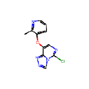 Cc1ncccc1Oc1cnc(Cl)n2cnnc12